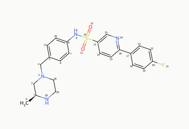 C[C@H]1CN(Cc2ccc(NS(=O)(=O)c3ccc(-c4ccc(F)cc4)nc3)cc2)CCN1